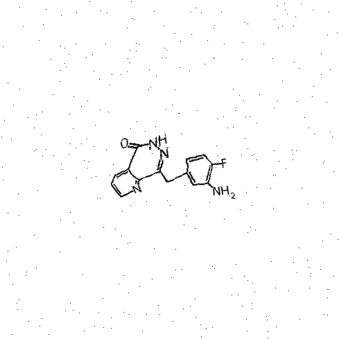 Nc1cc(Cc2n[nH]c(=O)c3cccnc23)ccc1F